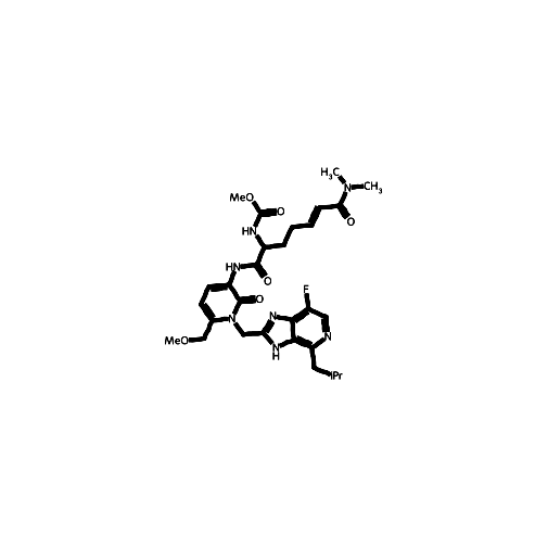 COCc1ccc(NC(=O)C(CCC=CC(=O)N(C)C)NC(=O)OC)c(=O)n1Cc1nc2c(F)cnc(CC(C)C)c2[nH]1